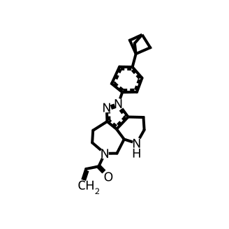 C=CC(=O)N1CCc2nn(-c3ccc(C45CC(C4)C5)cc3)c3c2C(C1)NCC3